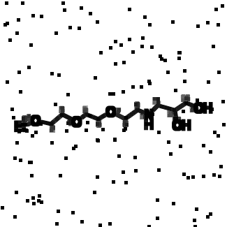 CCOCCOCCOCCNCC(O)CO